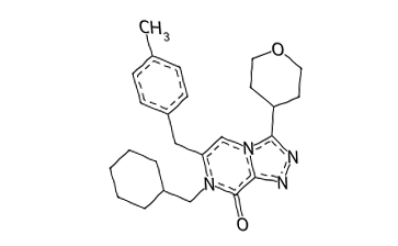 Cc1ccc(Cc2cn3c(C4CCOCC4)nnc3c(=O)n2CC2CCCCC2)cc1